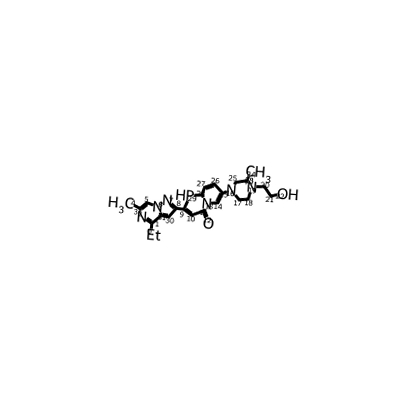 CCc1nc(C)cn2nc(C3=CC(=O)N4C=C(N5CCN(CCO)[C@H](C)C5)C=CC4P3)cc12